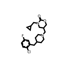 O=C1OCC(CN2CCC(Cc3cc(F)ccc3Cl)CC2)CN1CC1CC1